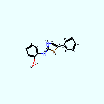 COc1ccccc1Nc1ncc(-c2ccccc2)s1